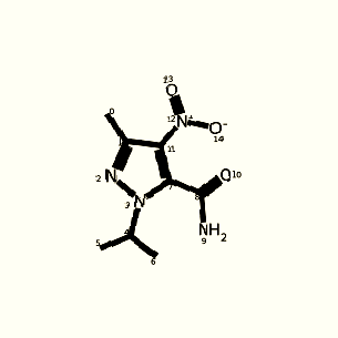 Cc1nn(C(C)C)c(C(N)=O)c1[N+](=O)[O-]